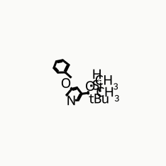 C[SiH](C)OC(c1cncc(OCc2ccccc2)c1)C(C)(C)C